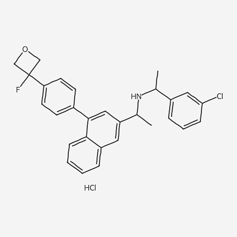 CC(NC(C)c1cc(-c2ccc(C3(F)COC3)cc2)c2ccccc2c1)c1cccc(Cl)c1.Cl